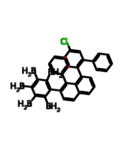 Bc1c(B)c(B)c(-c2ccc3cccc(-c4ccc(Cl)cc4-c4ccccc4)c3c2-c2ccccc2)c(B)c1B